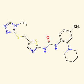 Cc1ccc(NC(=O)Nc2ncc(CSc3nncn3C)s2)c(N2CCCCC2)c1